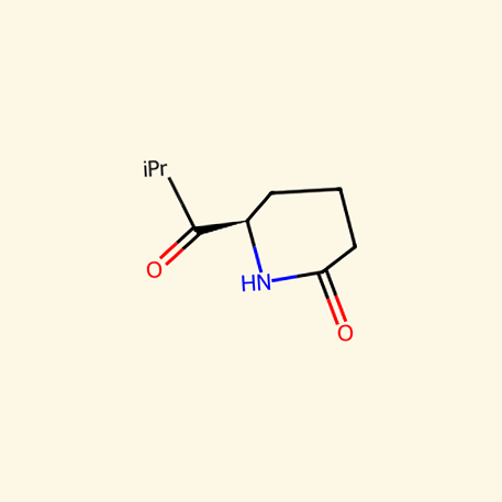 CC(C)C(=O)[C@H]1CCCC(=O)N1